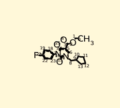 CCOC(=O)c1cn(CC2CCCC2)c(=O)n(-c2ccc(F)cc2)c1=O